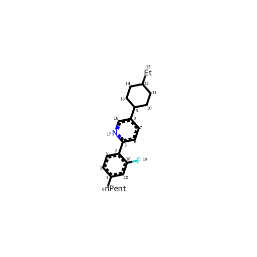 CCCCCc1ccc(-c2ccc(C3CCC(CC)CC3)cn2)c(F)c1